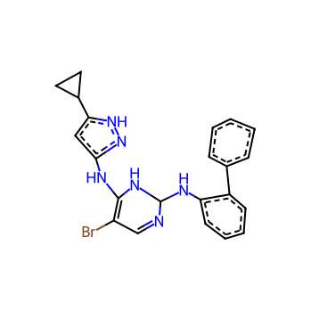 BrC1=C(Nc2cc(C3CC3)[nH]n2)NC(Nc2ccccc2-c2ccccc2)N=C1